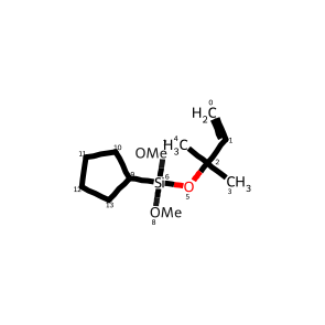 C=CC(C)(C)O[Si](OC)(OC)C1CCCC1